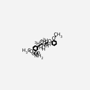 [2H]C([2H])(c1ccc(OC)c(S(N)(=O)=O)c1)[C@@H](C)NC([2H])([2H])C([2H])([2H])Oc1ccccc1OCC